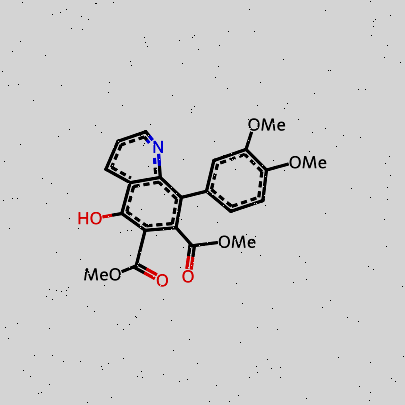 COC(=O)c1c(C(=O)OC)c(-c2ccc(OC)c(OC)c2)c2ncccc2c1O